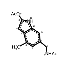 CC(=O)NCc1cc(C)c2cc(OC(C)=O)[nH]c2c1